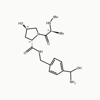 CC(C)(C)N[C@H](C(=O)N1C[C@H](O)C[C@H]1C(=O)NCc1ccc(C(N)O)cc1)C(C)(C)C